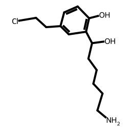 NCCCCCC(O)c1cc(CCCl)ccc1O